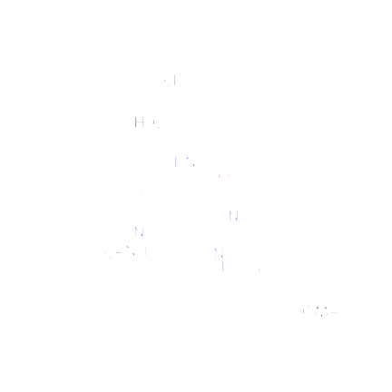 COCCOCc1nc2c(C(=O)Nc3cccc(Cl)c3C)cc(N(N)C(=O)c3ccccc3C(F)(F)F)cc2[nH]1